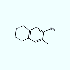 Cc1cc2c(cc1N)CCCC2